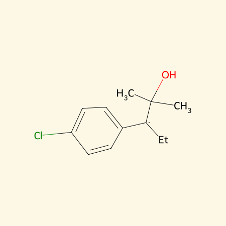 CC[C](c1ccc(Cl)cc1)C(C)(C)O